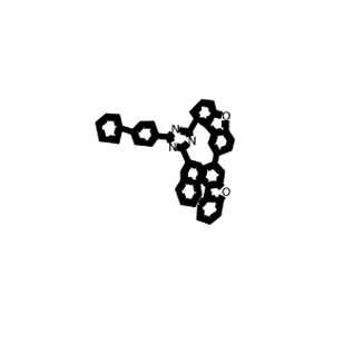 c1ccc(-c2ccc(-c3nc(-c4ccc5ccccc5c4)nc(-c4cccc5oc6ccc(-c7ccc8c(c7)oc7ccccc78)cc6c45)n3)cc2)cc1